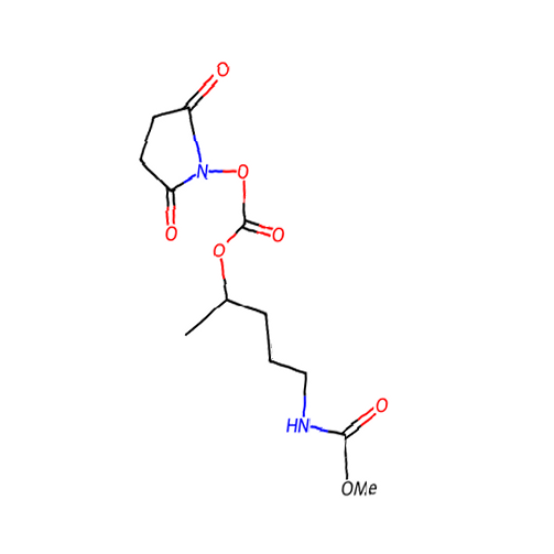 COC(=O)NCCCC(C)OC(=O)ON1C(=O)CCC1=O